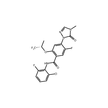 C[C@H](Oc1cc(-n2ncn(C)c2=O)c(F)cc1C(=O)Nc1c(F)cccc1Cl)C(F)(F)F